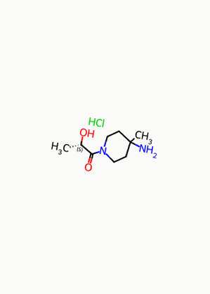 C[C@H](O)C(=O)N1CCC(C)(N)CC1.Cl